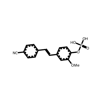 COc1cc(C=Cc2ccc(C#N)cc2)ccc1OP(=O)(O)O